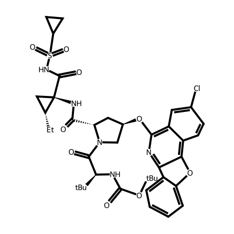 CC[C@@H]1C[C@]1(NC(=O)[C@@H]1C[C@@H](Oc2nc3c4ccccc4oc3c3ccc(Cl)cc23)CN1C(=O)[C@@H](NC(=O)OC(C)(C)C)C(C)(C)C)C(=O)NS(=O)(=O)C1CC1